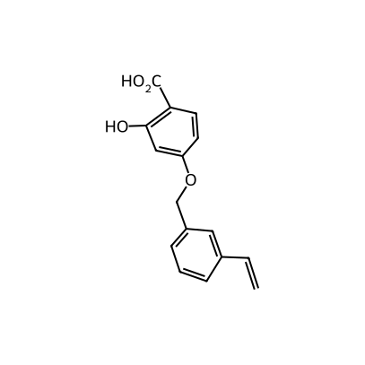 C=Cc1cccc(COc2ccc(C(=O)O)c(O)c2)c1